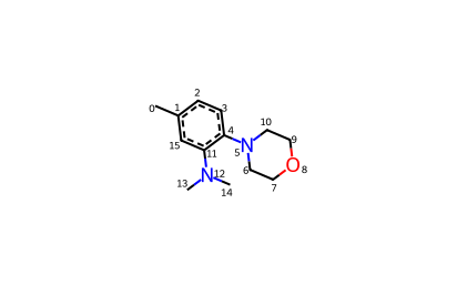 Cc1ccc(N2CCOCC2)c(N(C)C)c1